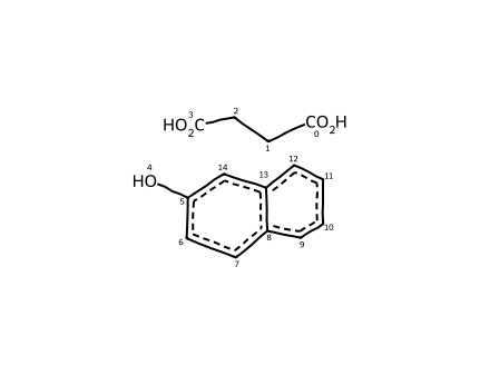 O=C(O)CCC(=O)O.Oc1ccc2ccccc2c1